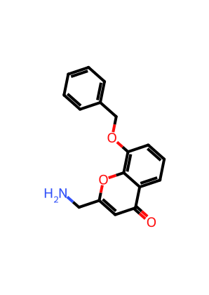 NCc1cc(=O)c2cccc(OCc3ccccc3)c2o1